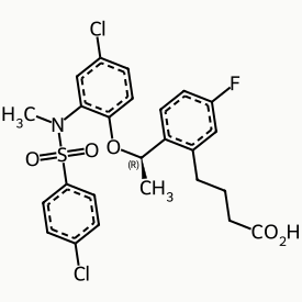 C[C@@H](Oc1ccc(Cl)cc1N(C)S(=O)(=O)c1ccc(Cl)cc1)c1ccc(F)cc1CCCC(=O)O